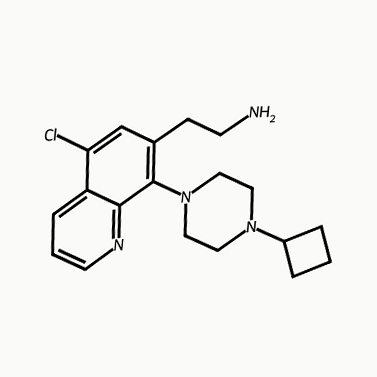 NCCc1cc(Cl)c2cccnc2c1N1CCN(C2CCC2)CC1